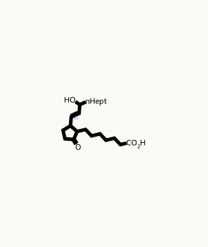 CCCCCCCC(O)/C=C/C1CCC(=O)C1CCCCCCC(=O)O